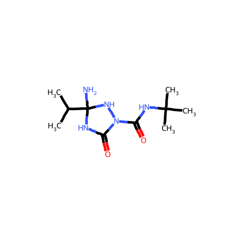 CC(C)C1(N)NC(=O)N(C(=O)NC(C)(C)C)N1